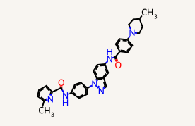 Cc1cccc(C(=O)Nc2ccc(-n3ncc4cc(NC(=O)c5ccc(N6CCC(C)CC6)cc5)ccc43)cc2)n1